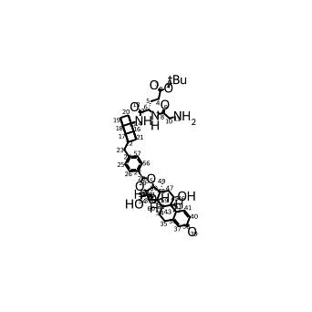 CC(C)(C)OC(=O)CC[C@H](NC(=O)CN)C(=O)NC12C3C4C1C1C2C3C41Cc1ccc([C@@H]2O[C@@H]3C[C@H]4[C@@H]5CCC6=CC(=O)C=C[C@]6(C)[C@H]5[C@@H](O)C[C@]4(C)[C@]3(C(=O)CO)O2)cc1